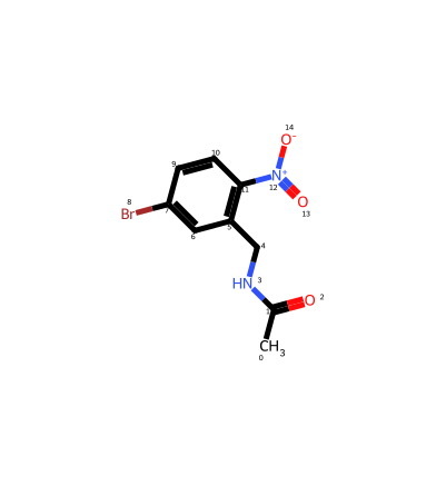 CC(=O)NCc1cc(Br)ccc1[N+](=O)[O-]